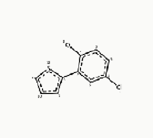 [O]c1ccc(Cl)cc1-c1cccs1